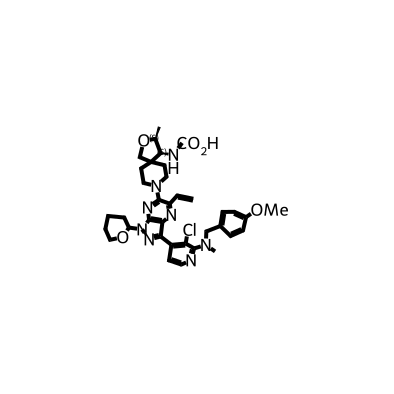 C=Cc1nc2c(-c3ccnc(N(C)Cc4ccc(OC)cc4)c3Cl)nn(C3CCCCO3)c2nc1N1CCC2(CC1)CO[C@@H](C)[C@H]2NC(=O)O